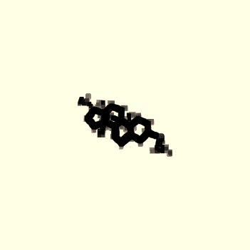 CC(=O)[C@H]1CC[C@H]2C3=CC=C4CC(O[SiH3])CC[C@]4(C)[C@H]3CC[C@]12C